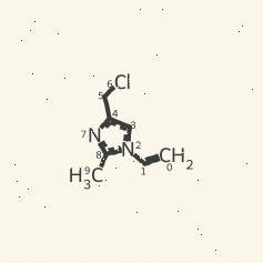 C=Cn1cc(CCl)nc1C